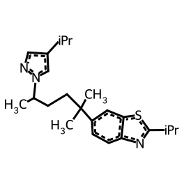 CC(C)c1cnn(C(C)CCC(C)(C)c2ccc3nc(C(C)C)sc3c2)c1